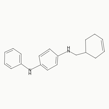 C1=CCC(CNc2ccc(Nc3ccccc3)cc2)CC1